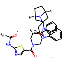 CC(=O)Nc1ncc(C(=O)N2CCC(CCN3[C@@H]4CC[C@H]3CC(n3c(C)nc5ccccc53)C4)(c3ccccc3)CC2)s1